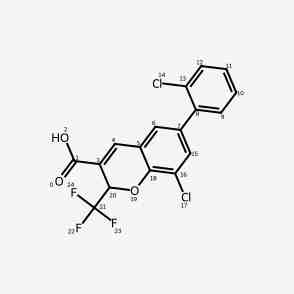 O=C(O)C1=Cc2cc(-c3ccccc3Cl)cc(Cl)c2OC1C(F)(F)F